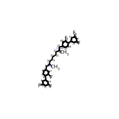 C/C(=C\c1ccc(-c2cc(F)cc(F)c2)c(F)c1)CCCCC/C(C)=C/c1ccc(-c2cc(F)cc(F)c2)c(F)c1